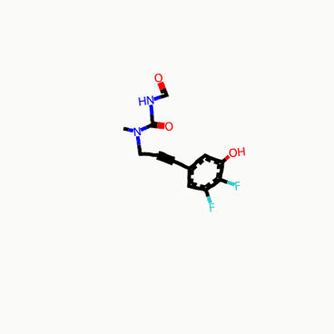 CN(CC#Cc1cc(O)c(F)c(F)c1)C(=O)NC=O